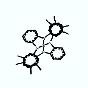 Cc1cc(C)cc(N2c3ccccc3N(c3cc(C)cc(C)c3)[Si]23N(c2cc(C)cc(C)c2)c2ccccc2N3c2cc(C)cc(C)c2)c1